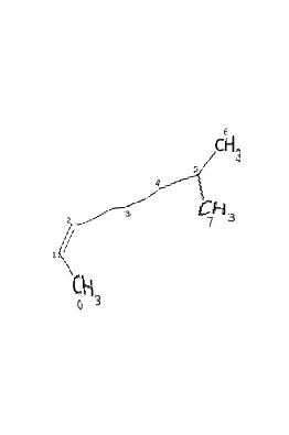 C/[C]=C\CCC(C)C